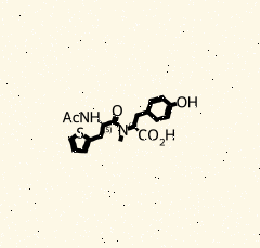 CC(=O)N[C@@H](Cc1cccs1)C(=O)N(C)[C@@H](CC1C=CC(O)=CC1)C(=O)O